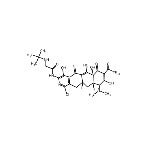 CN(C)[C@@H]1C(O)=C(C(N)=O)C(=O)[C@@]2(O)C(O)=C3C(=O)c4c(O)c(NC(=O)CNC(C)(C)C)nc(Cl)c4C[C@H]3C[C@@H]12